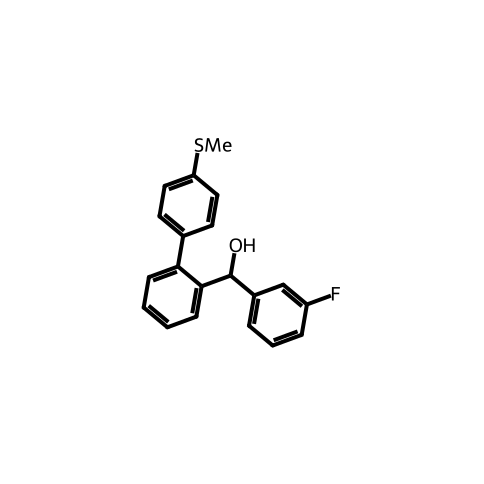 CSc1ccc(-c2ccccc2C(O)c2cccc(F)c2)cc1